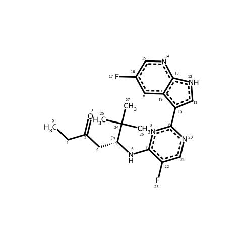 CCC(=O)C[C@@H](Nc1nc(-c2c[nH]c3ncc(F)cc23)ncc1F)C(C)(C)C